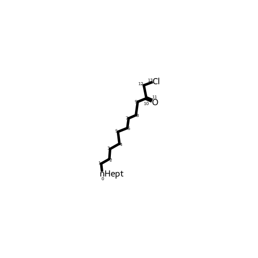 CCCCCCCCCCCCCCCCC(=O)CCl